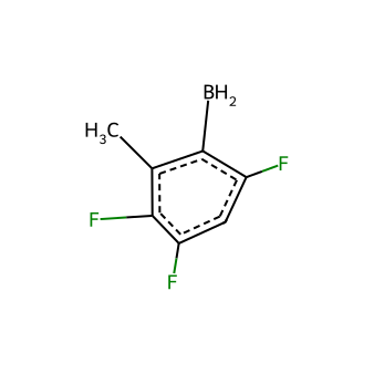 Bc1c(F)cc(F)c(F)c1C